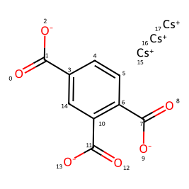 O=C([O-])c1ccc(C(=O)[O-])c(C(=O)[O-])c1.[Cs+].[Cs+].[Cs+]